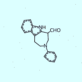 O=CC1CN(c2ccccc2)CCc2c1[nH]c1ccccc21